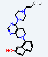 O=CC=CN1CCN(c2ncnc3c2CCN(c2cccc4ccc(O)cc24)C3)CC1